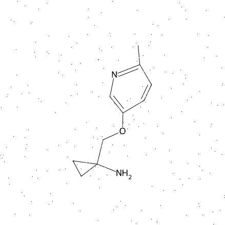 Cc1ccc(OCC2(N)CC2)cn1